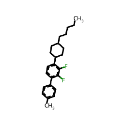 CCCCCC1CCC(c2ccc(-c3ccc(C)cc3)c(F)c2F)CC1